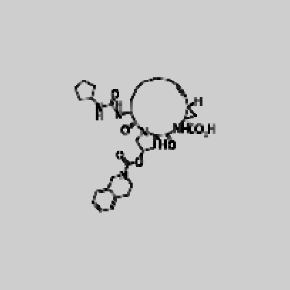 O=C(NC1CCCC1)N[C@H]1CCCCC/C=C\[C@@H]2C[C@@]2(C(=O)O)NC(=O)[C@@H]2C[C@@H](OC(=O)N3CCc4ccccc4C3)CN2C1=O